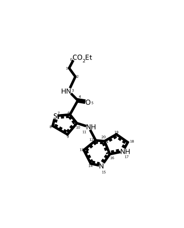 CCOC(=O)CCNC(=O)c1sccc1Nc1ccnc2[nH]ccc12